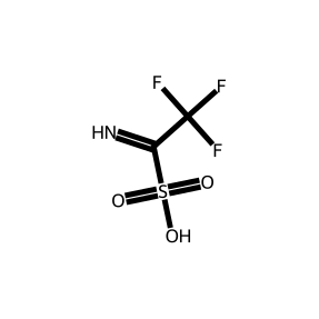 N=C(C(F)(F)F)S(=O)(=O)O